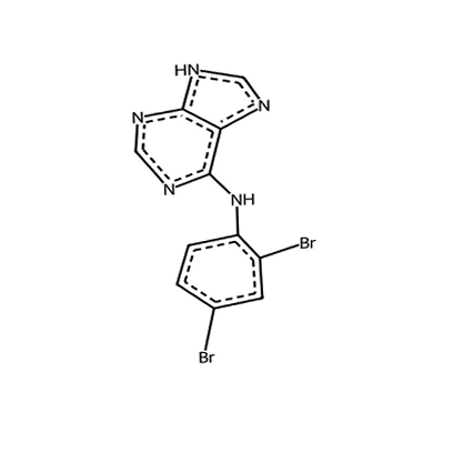 Brc1ccc(Nc2ncnc3[nH]cnc23)c(Br)c1